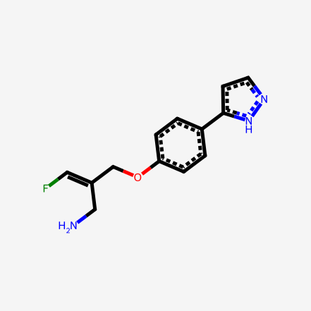 NC/C(=C\F)COc1ccc(-c2ccn[nH]2)cc1